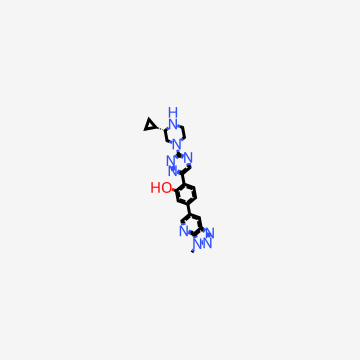 Cn1nnc2cc(-c3ccc(-c4cnc(N5CCN[C@@H](C6CC6)C5)nn4)c(O)c3)cnc21